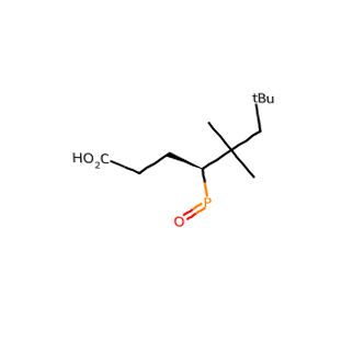 CC(C)(C)CC(C)(C)[C@H](CCC(=O)O)P=O